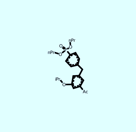 CCCOP(=O)(OCCC)c1ccc(Cc2cc(OC(C)C)cc(C(C)=O)c2)cc1